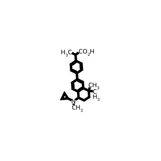 CC(C(=O)O)c1ccc(-c2ccc3c(c2)C(C)(C)CCC3N(C)C2CC2)cc1